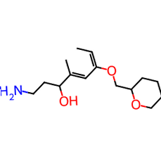 C/C=C(\C=C(/C)C(O)CCN)OCC1CCCCO1